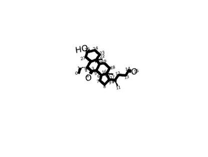 CC[C@H]1C(=O)C2C3CCC([C@H](C)CCC=O)[C@@]3(C)CCC2[C@@]2(C)CC[C@@H](O)CC12